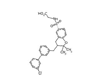 CC1(C)Oc2ccc(S(=O)(=O)NCC(=O)O)cc2CC1Cc1cccc(-c2cccc(Cl)c2)c1